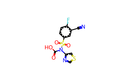 N#Cc1cc(S(=O)(=O)N(C(=O)O)c2cscn2)ccc1F